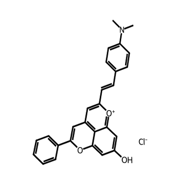 CN(C)c1ccc(C=Cc2cc3c4c(cc(O)cc4[o+]2)OC(c2ccccc2)=C3)cc1.[Cl-]